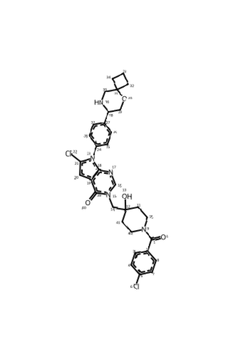 O=C(c1ccc(Cl)cc1)N1CCC(O)(Cn2cnc3c(cc(Cl)n3-c3ccc(C4COC5(CCC5)CN4)cc3)c2=O)CC1